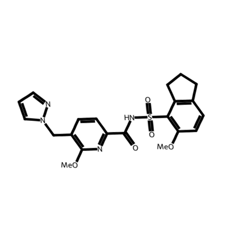 COc1ccc2c(c1S(=O)(=O)NC(=O)c1ccc(Cn3cccn3)c(OC)n1)CCC2